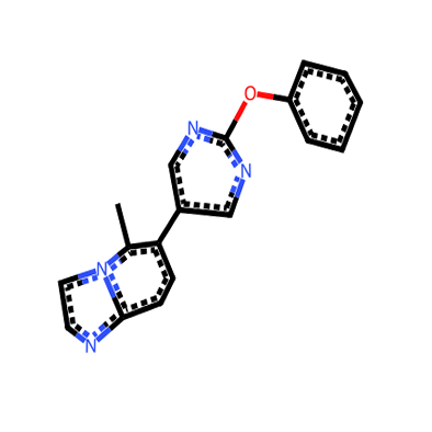 Cc1c(-c2cnc(Oc3ccccc3)nc2)ccc2nccn12